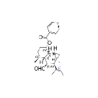 C/C=C(\C)[C@H]1[C@@H](C=O)[C@H]2[C@H]([C@@H](OC(=O)c3ccccc3)CC[C@@H]2C)[C@H]2C[C@]21C